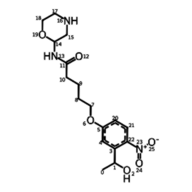 CC(O)c1cc(OCCCCC(=O)NC2CNCCO2)ccc1[N+](=O)[O-]